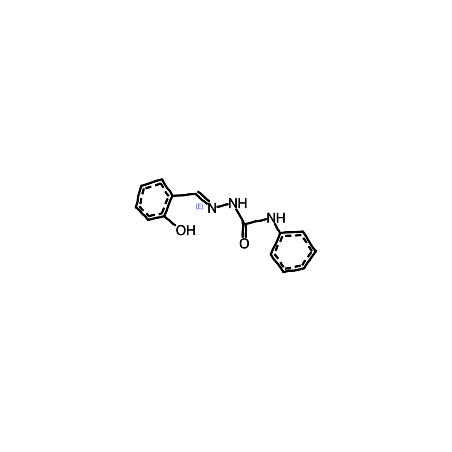 O=C(N/N=C/c1ccccc1O)Nc1ccccc1